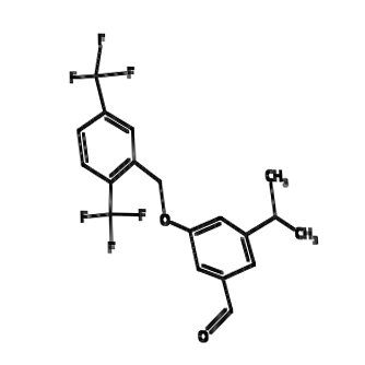 CC(C)c1cc(C=O)cc(OCc2cc(C(F)(F)F)ccc2C(F)(F)F)c1